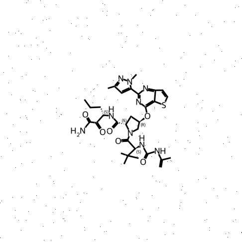 C=C(C)NC(=O)N[C@H](C(=O)N1C[C@H](Oc2nc(-c3cc(C)nn3C)nc3ccsc23)C[C@H]1C(=O)N[C@@H](CCC)C(=O)C(N)=O)C(C)(C)C